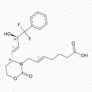 O=C(O)CCC/C=C/CN1C(=O)OCC[C@@H]1/C=C/[C@@H](O)C(F)(F)c1ccccc1